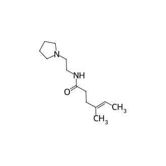 CC=C(C)CCC(=O)NCCN1CCCC1